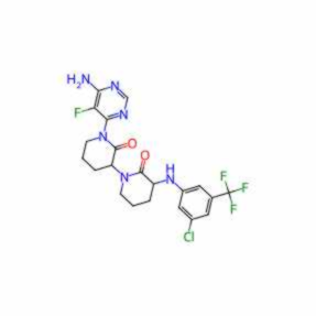 Nc1ncnc(N2CCCC(N3CCCC(Nc4cc(Cl)cc(C(F)(F)F)c4)C3=O)C2=O)c1F